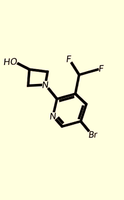 OC1CN(c2ncc(Br)cc2C(F)F)C1